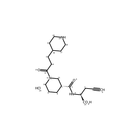 C#CC[C@H](NC(=O)[C@@H]1CCCN(C(=O)CCC2CCNCC2)C1)C(=O)O.Cl